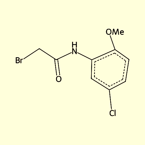 COc1ccc(Cl)cc1NC(=O)CBr